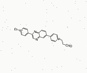 CC[n+]1ccc(-c2cnc3cc(-c4cc[n+](CCC=O)cc4)ccc3n2)cc1